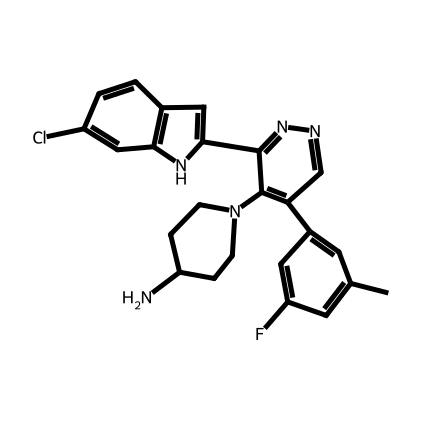 Cc1cc(F)cc(-c2cnnc(-c3cc4ccc(Cl)cc4[nH]3)c2N2CCC(N)CC2)c1